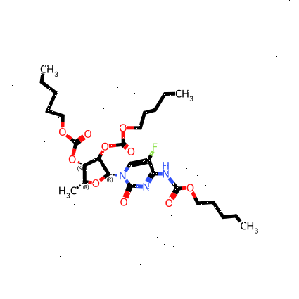 CCCCCOC(=O)Nc1nc(=O)n([C@@H]2O[C@H](C)[C@H](OC(=O)OCCCCC)C2OC(=O)OCCCCC)cc1F